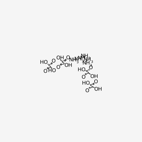 N.N.N.N.N.N.O=S(=O)(O)O.O=S(=O)(O)O.O=S(=O)(O)O.O=S(=O)(O)O